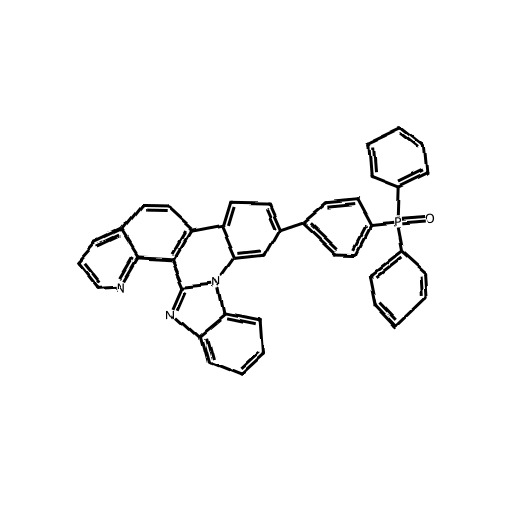 O=P(c1ccccc1)(c1ccccc1)c1ccc(-c2ccc3c4ccc5cccnc5c4c4nc5ccccc5n4c3c2)cc1